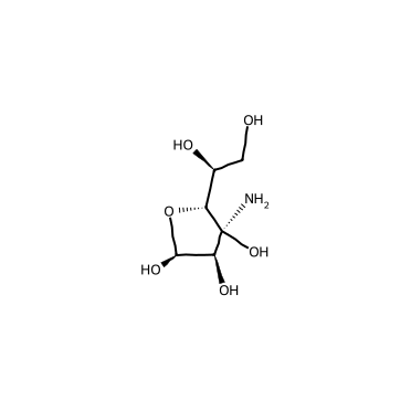 N[C@@]1(O)[C@@H]([C@@H](O)CO)O[C@H](O)[C@@H]1O